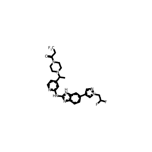 CC(c1ccnc(Nc2nc3ccc(-c4cnn(CC(F)F)c4)cc3[nH]2)c1)N1CCN(C(=O)CC(F)(F)F)CC1